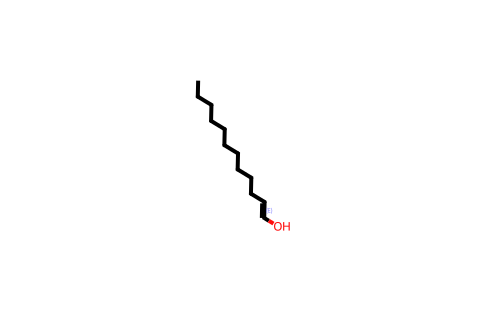 CCCCCCCCCC/C=C/O